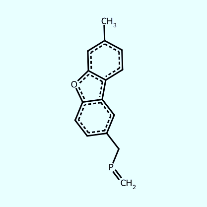 C=PCc1ccc2oc3cc(C)ccc3c2c1